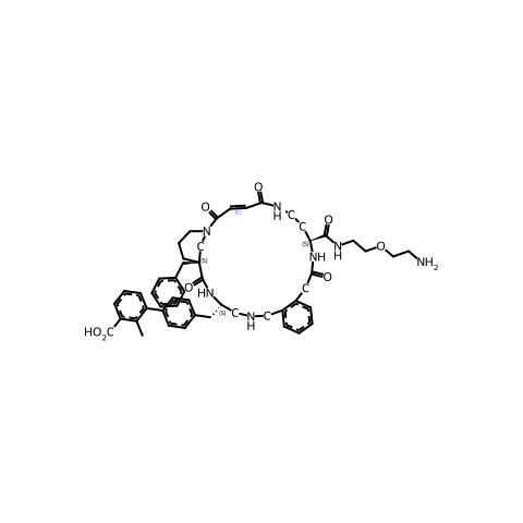 Cc1c(C(=O)O)cccc1-c1ccc(C[C@H]2CNCc3ccccc3CC(=O)N[C@H](C(=O)NCCOCCN)CCNC(=O)/C=C/C(=O)N3CCC[C@](Cc4ccccc4)(C3)C(=O)N2)cc1